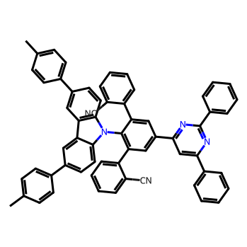 Cc1ccc(-c2ccc3c(c2)c2cc(-c4ccc(C)cc4)ccc2n3-c2c(-c3ccccc3C#N)cc(-c3cc(-c4ccccc4)nc(-c4ccccc4)n3)cc2-c2ccccc2C#N)cc1